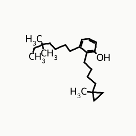 CCC(C)(C)CCCCc1cccc(O)c1CCCCC1(C)CC1